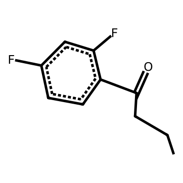 CCCC(=O)c1ccc(F)cc1F